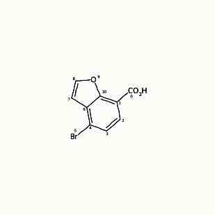 O=C(O)c1ccc(Br)c2ccoc12